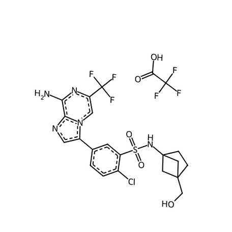 Nc1nc(C(F)(F)F)cn2c(-c3ccc(Cl)c(S(=O)(=O)NC45CCC(CO)(C4)C5)c3)cnc12.O=C(O)C(F)(F)F